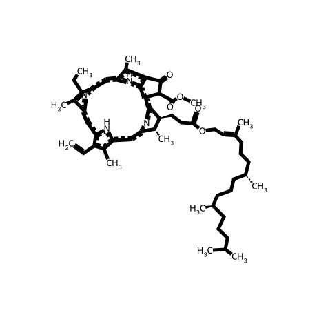 C=Cc1c(C)c2cc3nc(c4c5[nH]c(cc6nc(cc1[nH]2)C(C)=C6CC)c(C)c5C(=O)C4C(=O)OC)[C@@H](CCC(=O)OC/C=C(\C)CCC[C@H](C)CCC[C@H](C)CCCC(C)C)[C@@H]3C